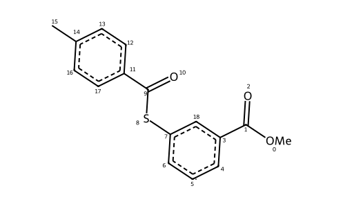 COC(=O)c1c[c]cc(SC(=O)c2ccc(C)cc2)c1